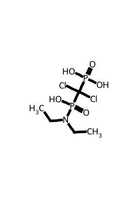 CCN(CC)P(=O)(O)C(Cl)(Cl)P(=O)(O)O